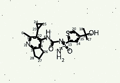 Cc1nc2c(c(NC(=O)N=[S@@](N)(=O)c3cc(C(C)(C)O)cs3)c1C1CC1)CCC2